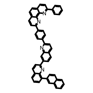 c1ccc(-c2ccc3ccc4ccc(-c5ccc(-c6ccc7ccc(-c8ccc9cccc(-c%10ccc%11ccccc%11c%10)c9n8)cc7n6)cc5)nc4c3n2)cc1